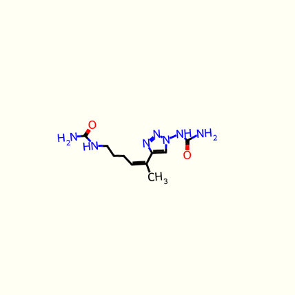 C/C(=C/CCCNC(N)=O)c1cn(NC(N)=O)nn1